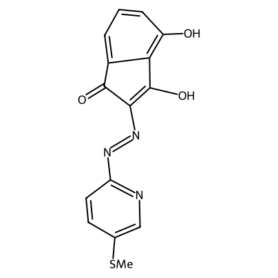 CSc1ccc(N=NC2=C(O)c3c(O)cccc3C2=O)nc1